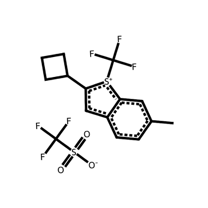 Cc1ccc2cc(C3CCC3)[s+](C(F)(F)F)c2c1.O=S(=O)([O-])C(F)(F)F